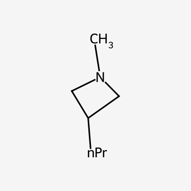 CCCC1CN(C)C1